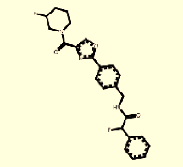 O=C(NCc1ccc(-c2nc(C(=O)N3CCCC(F)C3)co2)cc1)C(F)c1ccccc1